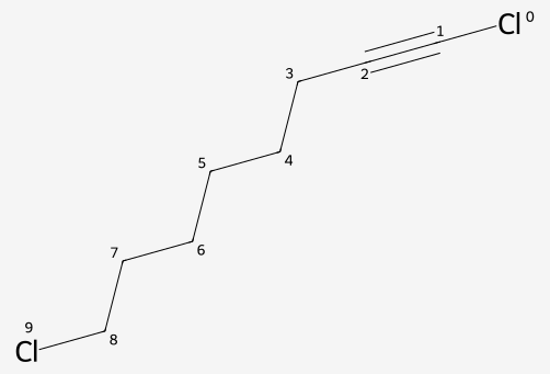 ClC#CCCCCCCCl